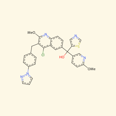 COc1ccc(C(O)(c2ccc3nc(OC)c(Cc4ccc(-n5cccn5)cc4)c(Cl)c3c2)c2cncs2)cn1